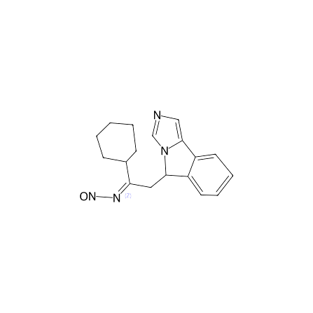 O=N/N=C(/CC1c2ccccc2-c2cncn21)C1CCCCC1